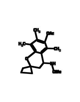 CONC1CC2(CCC2)Oc2c(C)c(C)c(OC(C)=O)c(C)c21